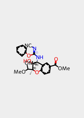 COC(=O)c1ccc2c(c1)[C@@H](N/C(=N/C#N)Oc1ccccc1)[C@H](O)[C@](C)(C(OC)OC)O2